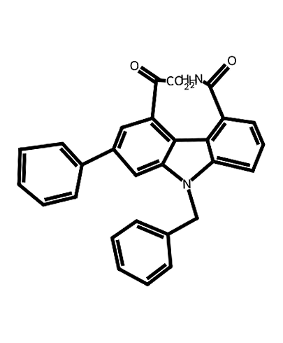 NC(=O)c1cccc2c1c1c(C(=O)C(=O)O)cc(-c3ccccc3)cc1n2Cc1ccccc1